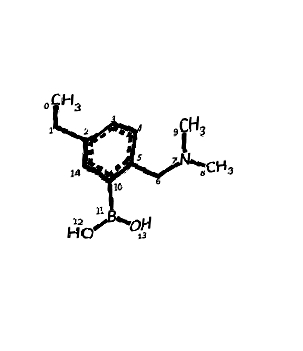 CCc1ccc(CN(C)C)c(B(O)O)c1